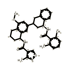 COc1cc(C2Cc3ccccc3[C@@H](NC(=O)c3c(C)cccc3C)C2)cc2c1CCCC2NC(=O)c1conc1C